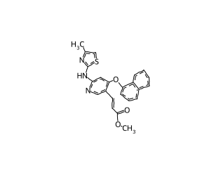 COC(=O)C=Cc1cnc(Nc2nc(C)cs2)cc1Oc1cccc2ccccc12